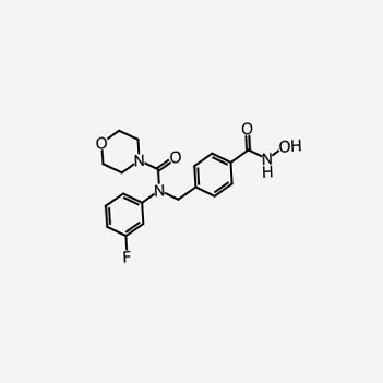 O=C(NO)c1ccc(CN(C(=O)N2CCOCC2)c2cccc(F)c2)cc1